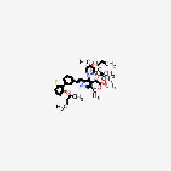 C=CCOC1(C)CCN(c2c([C@H](OC(C)(C)C)C(=O)OC)c(C)cn3nc(-c4cccc(-c5c(F)cccc5O[C@@H](C)CC=C)c4)cc23)CC1